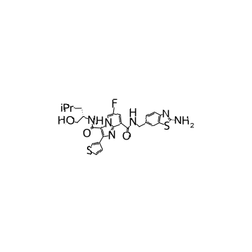 CC(C)C[C@@H](CO)NC(=O)c1c(-c2ccsc2)nc2c(C(=O)NCc3ccc4nc(N)sc4c3)cc(F)cn12